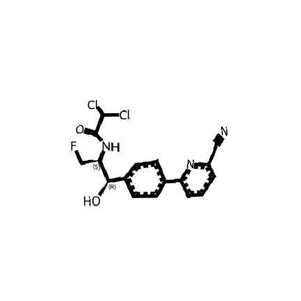 N#Cc1cccc(-c2ccc([C@@H](O)[C@@H](CF)NC(=O)C(Cl)Cl)cc2)n1